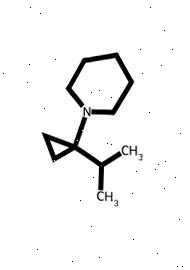 CC(C)C1(N2CCCCC2)CC1